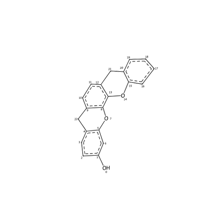 Oc1ccc2c(c1)Oc1c(ccc3c1Oc1ccccc1C3)C2